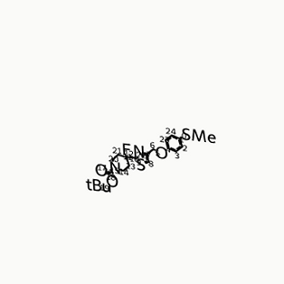 CSc1ccc(OCc2csc(C3(F)CCN(C(=O)OC(C)(C)C)CC3)n2)cc1